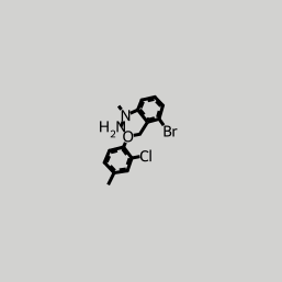 Cc1ccc(OCc2c(Br)cccc2N(C)N)c(Cl)c1